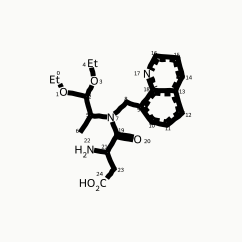 CCOC(OCC)C(C)N(Cc1cccc2cccnc12)C(=O)C(N)CC(=O)O